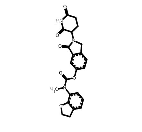 CN(C(=O)Oc1ccc2c(c1)C(=O)N(C1CCC(=O)NC1=O)C2)c1cccc2c1OCC2